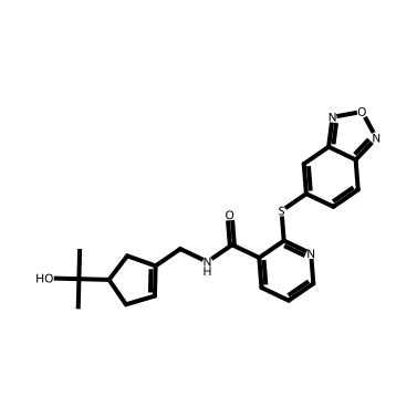 CC(C)(O)C1CC=C(CNC(=O)c2cccnc2Sc2ccc3nonc3c2)C1